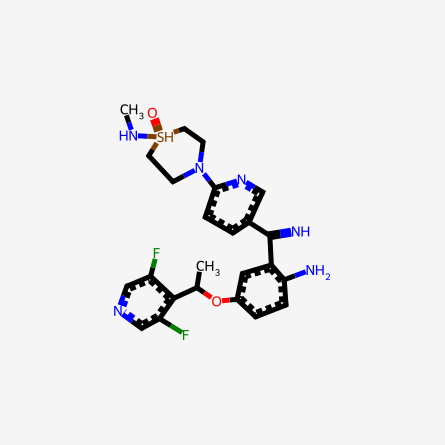 CN[SH]1(=O)CCN(c2ccc(C(=N)c3cc(OC(C)c4c(F)cncc4F)ccc3N)cn2)CC1